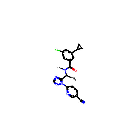 CC(c1ncnn1-c1ccc(C#N)cn1)N(C)C(=O)c1cc(Cl)cc(C2CC2)c1